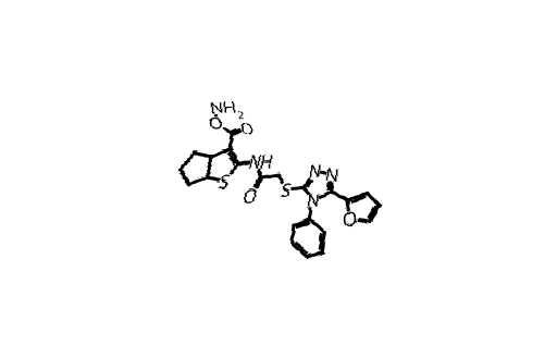 NOC(=O)C1=C(NC(=O)CSc2nnc(-c3ccco3)n2-c2ccccc2)SC2CCCC12